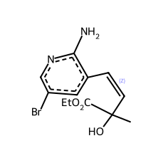 CCOC(=O)C(C)(O)/C=C\c1cc(Br)cnc1N